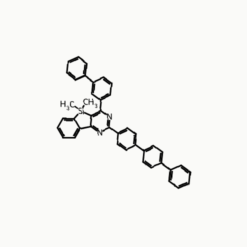 C[Si]1(C)c2ccccc2-c2nc(-c3ccc(-c4ccc(-c5ccccc5)cc4)cc3)nc(-c3cccc(-c4ccccc4)c3)c21